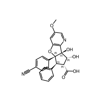 COc1cnc2c(c1)O[C@@]1(c3ccc(C#N)cc3)[C@H](c3ccccc3)[C@@H](C(=O)O)[C@@H](O)[C@@]21O